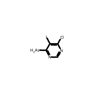 Clc1ncnc([AsH2])c1I